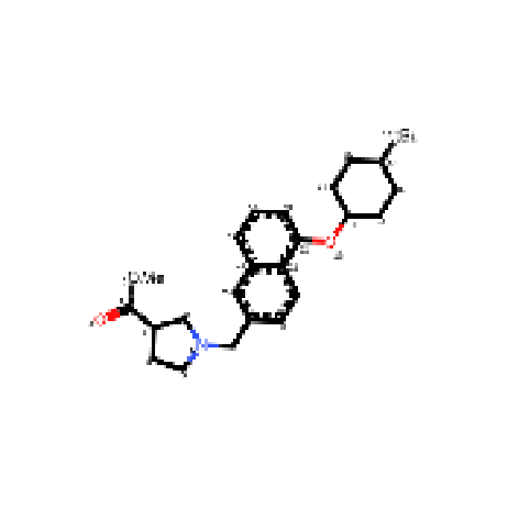 COC(=O)C1CCN(Cc2ccc3c(OC4CCC(C(C)(C)C)CC4)cccc3c2)C1